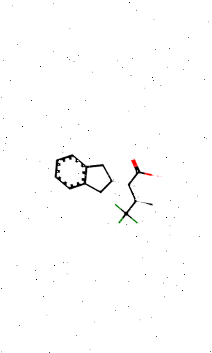 C[C@H]([C@@H](C(=O)O)C1Cc2ccccc2C1)C(F)(F)F